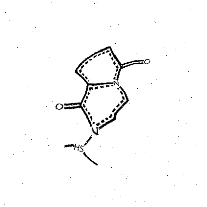 C[SH](C)n1ccn2c(=O)cccc2c1=O